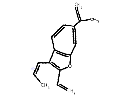 C=Cc1oc2cc(C(=C)C)ccc2c1/C=C\C